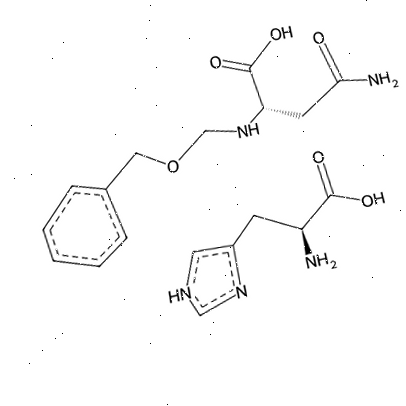 NC(=O)C[C@H](NCOCc1ccccc1)C(=O)O.N[C@@H](Cc1c[nH]cn1)C(=O)O